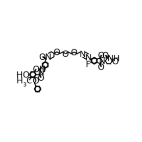 Cc1c(O)cc(O)c(C(=O)N2Cc3ccc(C(=O)N4CCC(OCCOCCOCCN5CCN(c6cc7c(cc6F)C(=O)N(C6CCC(=O)NC6=O)C7=O)CC5)CC4)cc3C2)c1OCc1ccccc1